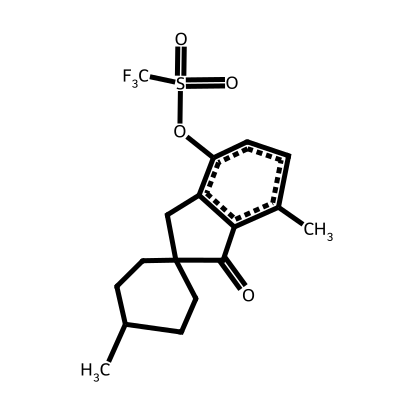 Cc1ccc(OS(=O)(=O)C(F)(F)F)c2c1C(=O)C1(CCC(C)CC1)C2